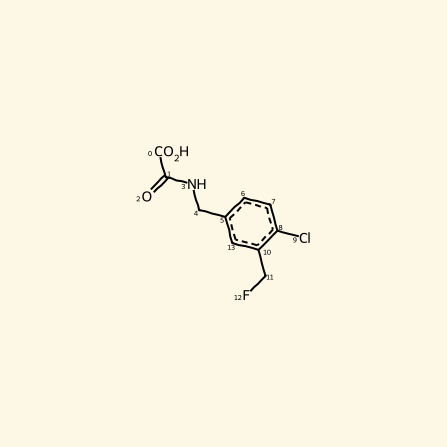 O=C(O)C(=O)NCc1ccc(Cl)c(CF)c1